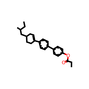 CCC(=O)Oc1ccc(-c2ccc(C3=CCC(CC(C)CC)CC3)cc2)cc1